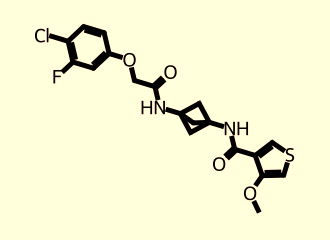 COc1cscc1C(=O)NC12CC(NC(=O)COc3ccc(Cl)c(F)c3)(C1)C2